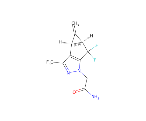 C=C1[C@@H]2c3c(C(F)(F)F)nn(CC(N)=O)c3C(F)(F)[C@H]12